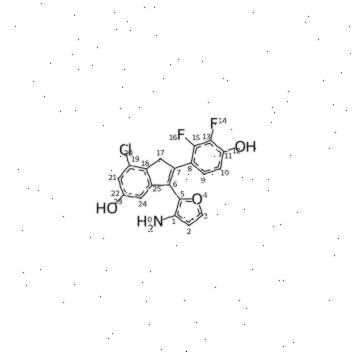 Nc1ccoc1C1=C(c2ccc(O)c(F)c2F)Cc2c(Cl)cc(O)cc21